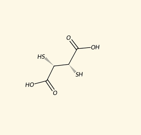 O=C(O)[C@H](S)[C@@H](S)C(=O)O